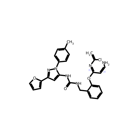 C=C(Cl)/N=C(\C=C/N)Oc1ccccc1CNC(=O)Nc1cc(-c2ccco2)nn1-c1ccc(C)cc1